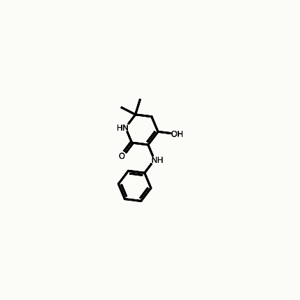 CC1(C)CC(O)=C(Nc2ccccc2)C(=O)N1